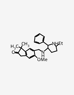 CCC1CCC(NCc2cc3c(cc2OC)CC(=O)C3(C)C)C(c2ccccc2)N1